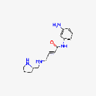 Nc1cccc(NC(=O)/C=C/CNCC2CCCN2)c1